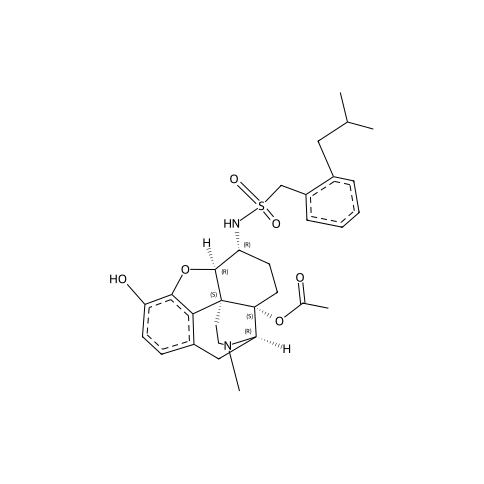 CC(=O)O[C@@]12CC[C@@H](NS(=O)(=O)Cc3ccccc3CC(C)C)[C@@H]3Oc4c(O)ccc5c4[C@@]31CCN(C)[C@@H]2C5